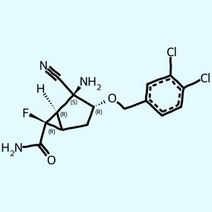 N#C[C@@]1(N)[C@H]2C(C[C@H]1OCc1ccc(Cl)c(Cl)c1)[C@]2(F)C(N)=O